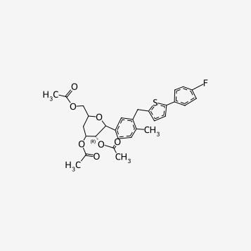 CC(=O)OCC1CC(OC(C)=O)[C@@H](OC(C)=O)C(c2ccc(C)c(Cc3ccc(-c4ccc(F)cc4)s3)c2)O1